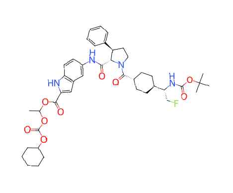 CC(OC(=O)OC1CCCCC1)OC(=O)c1cc2cc(NC(=O)[C@@H]3[C@@H](c4ccccc4)CCN3C(=O)[C@H]3CC[C@H]([C@@H](CF)NC(=O)OC(C)(C)C)CC3)ccc2[nH]1